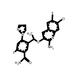 CC(Oc1cc2cc(F)c(Cl)cc2nc1N)c1cc(C(N)=O)c(F)cc1-n1cccn1